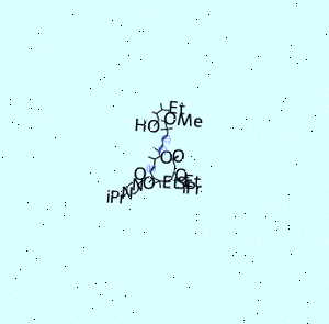 CCC(OC)C(C)C(C)C(O)CC(C)(C)/C=C/C=C(\C)C1OC(=O)CC(O[Si](CC)(CC)C(C)C)CCC(C)(C)C(OC(=O)N2CCN(C(C)C)CC2)/C=C/C1C